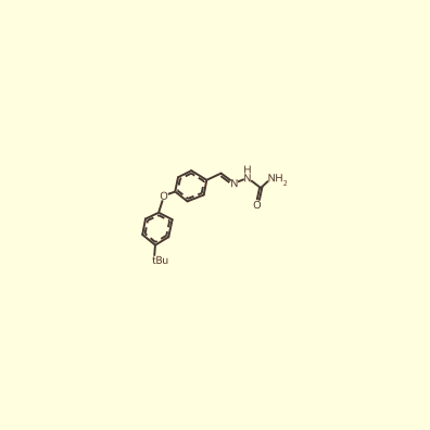 CC(C)(C)c1ccc(Oc2ccc(C=NNC(N)=O)cc2)cc1